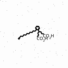 C#CCCCCCCCCCCc1ccccc1C(CCCC(=O)O)CCCC(=O)O